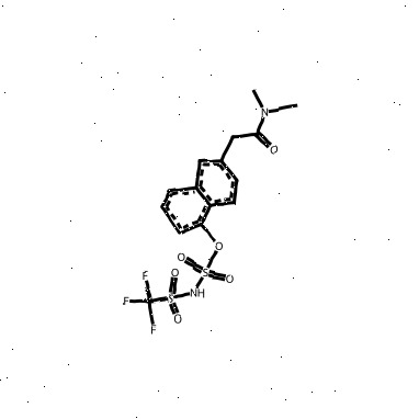 CN(C)C(=O)Cc1ccc2c(OS(=O)(=O)NS(=O)(=O)C(F)(F)F)cccc2c1